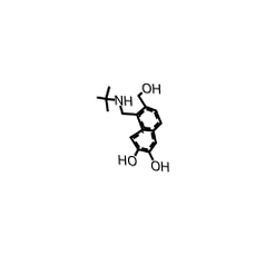 CC(C)(C)NCc1c(CO)ccc2cc(O)c(O)cc12